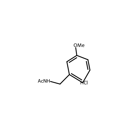 COc1cccc(CNC(C)=O)c1.Cl